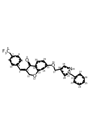 O=C1/C(=C\c2ccc(C(F)(F)F)cc2)COc2cc(OCc3cnn(-c4ccccc4)c3)ccc21